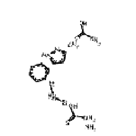 C.CCNCC.N.NC(O)=S.NC(O)=S.c1ccccc1.c1cn[nH]c1